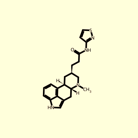 CN1C[C@H](CCC(=O)Nc2ccsn2)C[C@@H]2c3cccc4[nH]cc(c34)C[C@H]21